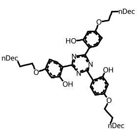 CCCCCCCCCCCCOc1ccc(-c2nc(-c3ccc(OCCCCCCCCCCCC)cc3O)nc(-c3ccc(OCCCCCCCCCCCC)cc3O)n2)c(O)c1